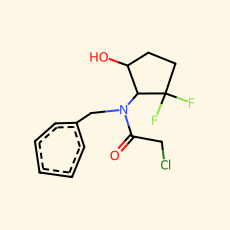 O=C(CCl)N(Cc1ccccc1)C1C(O)CCC1(F)F